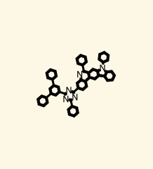 c1ccc(-c2cc(-c3ccccc3)cc(-c3nc(-c4ccccc4)nc(-c4ccc5c(c4)nc(-c4ccccc4)c4cc6c(cc45)c4ccccc4n6-c4ccccc4)n3)c2)cc1